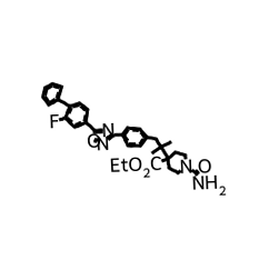 CCOC(=O)C1(C(C)(C)Cc2ccc(-c3noc(-c4ccc(-c5ccccc5)c(F)c4)n3)cc2)CCN(C(N)=O)CC1